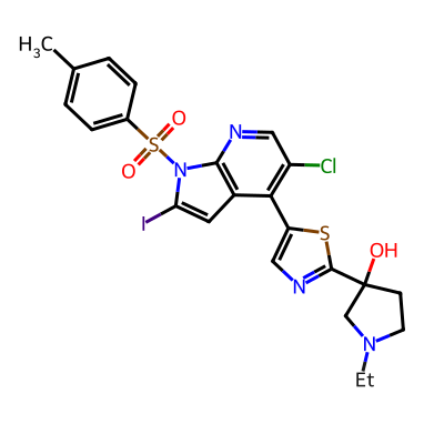 CCN1CCC(O)(c2ncc(-c3c(Cl)cnc4c3cc(I)n4S(=O)(=O)c3ccc(C)cc3)s2)C1